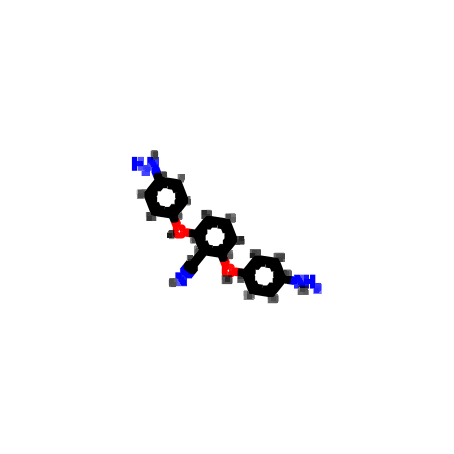 N#Cc1c(Oc2ccc(N)cc2)cccc1Oc1ccc(N)cc1